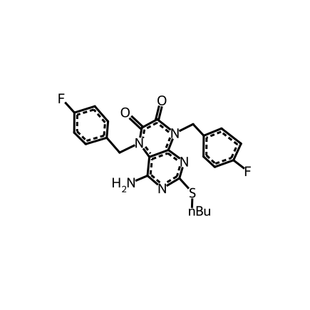 CCCCSc1nc(N)c2c(n1)n(Cc1ccc(F)cc1)c(=O)c(=O)n2Cc1ccc(F)cc1